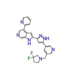 FC1(F)CCN(Cc2cncc(-c3cc(-c4cc5c(-c6ccccn6)cncc5[nH]4)n[nH]3)c2)C1